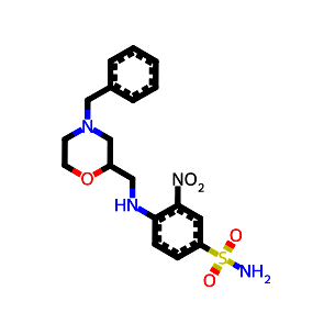 NS(=O)(=O)c1ccc(NCC2CN(Cc3ccccc3)CCO2)c([N+](=O)[O-])c1